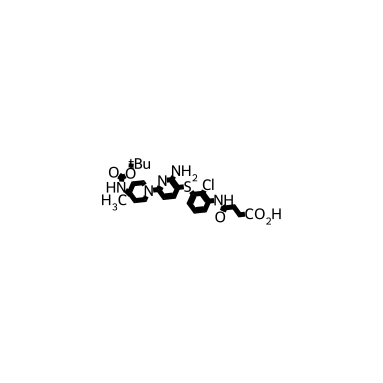 CC1(NC(=O)OC(C)(C)C)CCN(c2ccc(Sc3cccc(NC(=O)CCC(=O)O)c3Cl)c(N)n2)CC1